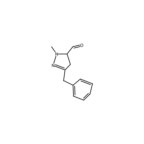 CN1N=C(Cc2ccccc2)CC1C=O